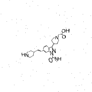 CNC(=O)n1nc(C2CCN(CC(=O)O)CC2)c2ccc(C=CC3CCNCC3)cc21